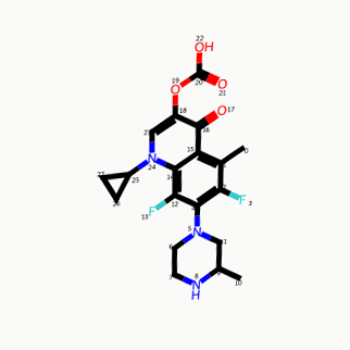 Cc1c(F)c(N2CCNC(C)C2)c(F)c2c1c(=O)c(OC(=O)O)cn2C1CC1